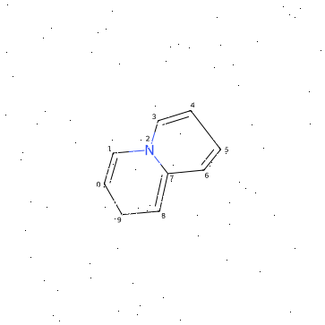 [C]1=CN2C=CC=CC2=CC1